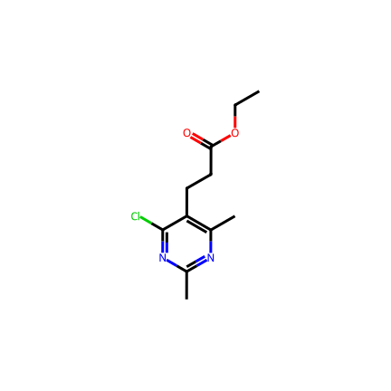 CCOC(=O)CCc1c(C)nc(C)nc1Cl